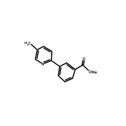 COC(=O)c1cccc(-c2ccc(C)cn2)c1